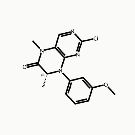 COc1cccc(N2c3nc(Cl)ncc3N(C)C(=O)[C@H]2C)c1